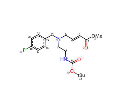 COC(=O)/C=C/CN(CCNC(=O)OC(C)(C)C)Cc1ccc(F)cc1